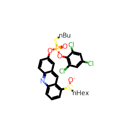 CCCCCC[S+]([O-])c1cccc2nc3ccc(OP(=O)(Oc4c(Cl)cc(Cl)cc4Cl)SCCCC)cc3cc12